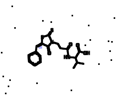 CC(C)C(NC(=O)CCN1C(=O)/C(=C\c2ccccc2)SC1=S)C(=O)O